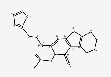 C=C(C)Cn1c(NCCc2cccs2)nc2sc3c(c2c1=O)CCCC3